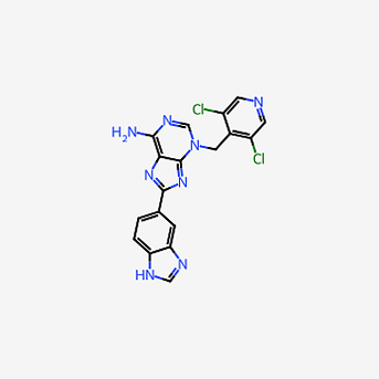 Nc1ncn(Cc2c(Cl)cncc2Cl)c2nc(-c3ccc4[nH]cnc4c3)nc1-2